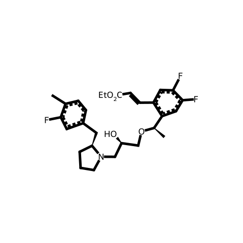 CCOC(=O)/C=C/c1cc(F)c(F)cc1[C@@H](C)OC[C@H](O)CN1CCC[C@H]1Cc1ccc(C)c(F)c1